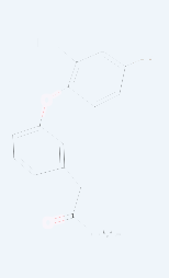 COC(=O)Cc1cccc(Oc2ccc(Br)cc2C(F)(F)F)c1